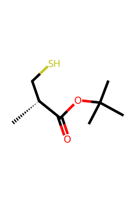 C[C@H](CS)C(=O)OC(C)(C)C